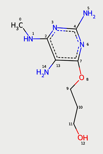 CNc1nc(N)nc(OCCCO)c1N